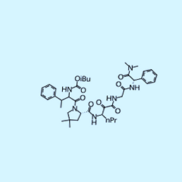 CCCC(NC(=O)[C@@H]1CC(C)(C)CN1C(=O)C(NC(=O)OCC(C)C)C(C)c1ccccc1)C(=O)C(=O)NCC(=O)N[C@H](C(=O)N(C)C)c1ccccc1